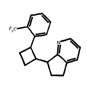 FC(F)(F)c1ccccc1[C]1CCC1C1CCc2cccnc21